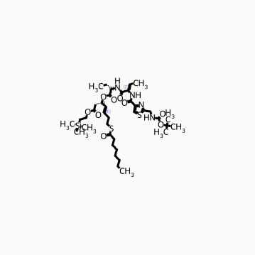 C/C=C(\NC(=O)c1csc(CNC(=O)OC(C)(C)C)n1)C(=O)N[C@@H](CC)C(=O)O[C@H](/C=C/CCSC(=O)CCCCCCC)CC(=O)OCC[Si](C)(C)C